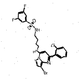 O=S(=O)(NCCCCNc1cc(-c2ccccc2Cl)nc2c(Br)cnn12)c1cc(F)cc(F)c1